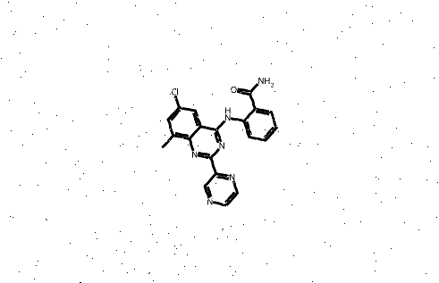 Cc1cc(Cl)cc2c(Nc3ccccc3C(N)=O)nc(-c3cnccn3)nc12